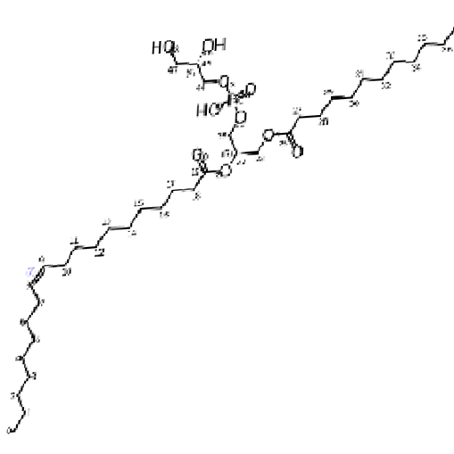 CCCCCCCC/C=C\CCCCCCCCCC(=O)O[C@H](COC(=O)CCCCCCCCCCC)COP(=O)(O)OC[C@@H](O)CO